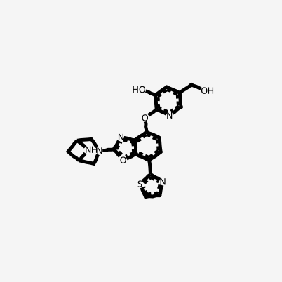 OCc1cnc(Oc2ccc(-c3nccs3)c3oc(N4CC5CC(C4)N5)nc23)c(O)c1